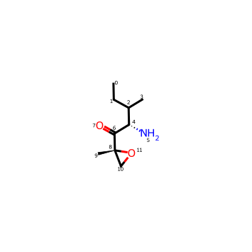 CCC(C)[C@H](N)C(=O)[C@@]1(C)CO1